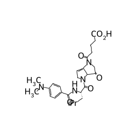 CC(C)C[C@H](NC(=O)c1ccc(N(C)C)cc1)C(=O)N1CC=C2C1C(=O)CN2C(=O)CCCC(=O)O